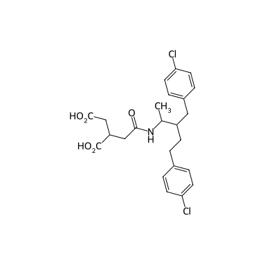 CC(NC(=O)CC(CC(=O)O)C(=O)O)C(CCc1ccc(Cl)cc1)Cc1ccc(Cl)cc1